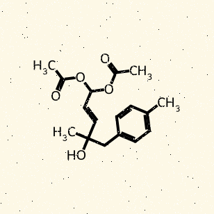 CC(=O)OC(C=CC(C)(O)Cc1ccc(C)cc1)OC(C)=O